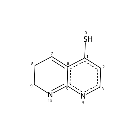 Sc1ccnc2c1=CCCN=2